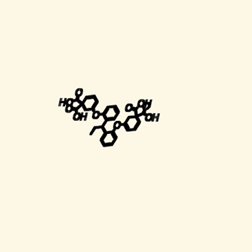 CCC(c1ccccc1OC1=CC=CC(C(=O)O)(C(=O)O)C1)c1ccccc1OC1=CC=CC(C(=O)O)(C(=O)O)C1